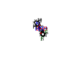 CC(C)(C)NC(=O)CN1[C@@H]2CC[C@H]1C[C@H](CNC(=O)c1ccc(F)cc1F)C2